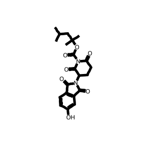 CC(C)CC(C)(C)OC(=O)N1C(=O)CCC(N2C(=O)c3ccc(O)cc3C2=O)C1=O